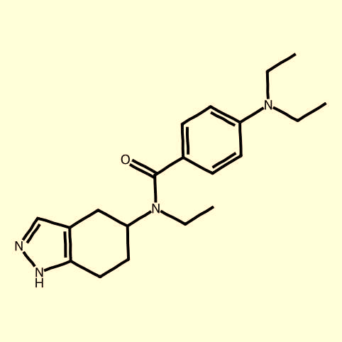 CCN(CC)c1ccc(C(=O)N(CC)C2CCc3[nH]ncc3C2)cc1